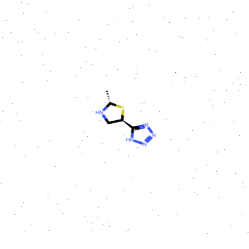 C[C@H]1NC[C@H](c2nnn[nH]2)S1